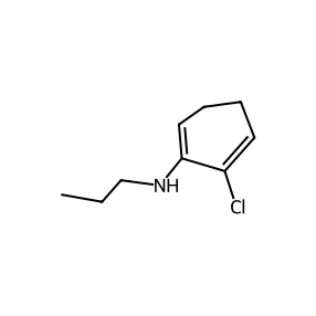 CCCNC1=CCCC=C1Cl